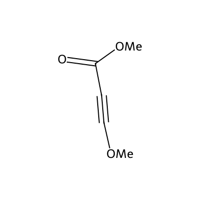 COC#CC(=O)OC